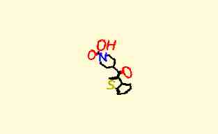 O=C(c1csc2ccccc12)C1CCN(C(=O)O)CC1